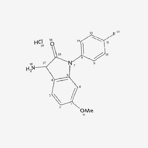 COc1ccc2c(c1)N(c1ccc(F)cc1)C(=O)C2N.Cl